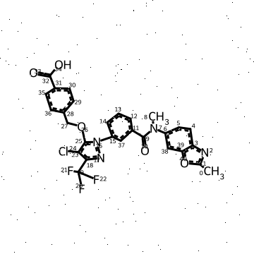 Cc1nc2ccc(N(C)C(=O)c3cccc(-n4nc(C(F)(F)F)c(Cl)c4OCc4ccc(C(=O)O)cc4)c3)cc2o1